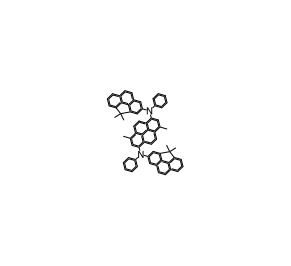 Cc1cc(N(c2ccccc2)c2cc3c4c(ccc5cccc(c54)C3(C)C)c2)c2ccc3c(C)cc(N(c4ccccc4)c4cc5c6c(ccc7cccc(c76)C5(C)C)c4)c4ccc1c2c34